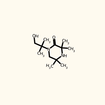 CC1(C)CN(C(C)(C)CO)C(=O)C(C)(C)N1